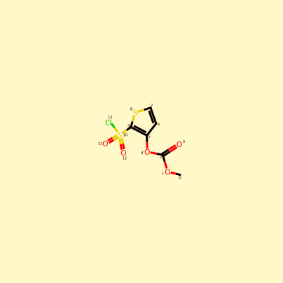 COC(=O)Oc1ccsc1S(=O)(=O)Cl